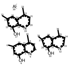 Cc1cc(O)c2nccc(C)c2c1.Cc1cc(O)c2nccc(C)c2c1.Cc1cc(O)c2nccc(C)c2c1.[Al]